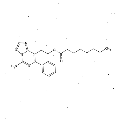 CCCCCCCC(=O)OCCc1c(-c2ccccc2)nc(N)n2ncnc12